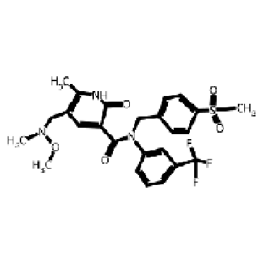 CON(C)Cc1cc(C(=O)N(Cc2ccc(S(C)(=O)=O)cc2)c2cccc(C(F)(F)F)c2)c(=O)[nH]c1C